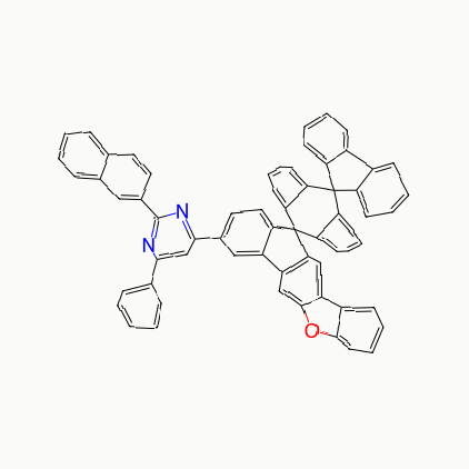 c1ccc(-c2cc(-c3ccc4c(c3)-c3cc5oc6ccccc6c5cc3C43c4ccccc4C4(c5ccccc5-c5ccccc54)c4ccccc43)nc(-c3ccc4ccccc4c3)n2)cc1